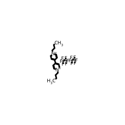 CCCC[n+]1ccc(-c2cc[n+](CCCC)cc2)cc1.F[P-](F)(F)(F)(F)F.F[P-](F)(F)(F)(F)F